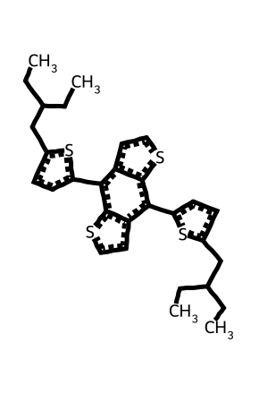 CCC(CC)Cc1ccc(-c2c3ccsc3c(-c3ccc(CC(CC)CC)s3)c3ccsc23)s1